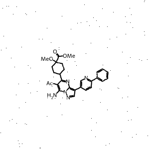 COC(=O)C1(OC)CCC(c2nc3c(-c4ccc(-c5ccccc5)nc4)cnn3c(N)c2C(C)=O)CC1